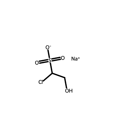 O=S(=O)([O-])C(Cl)CO.[Na+]